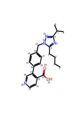 CCCCc1nc(C(C)C)nn1Cc1ccc(-c2cnccc2C(=O)O)cc1